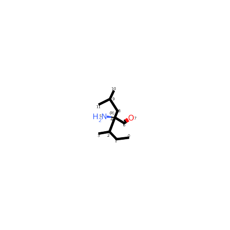 CCC(C)[C@@](N)(C=O)CC(C)C